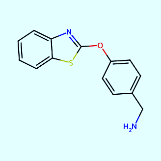 NCc1ccc(Oc2nc3ccccc3s2)cc1